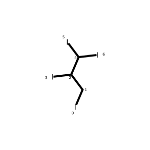 ICC(I)C(I)I